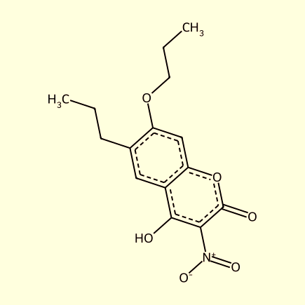 CCCOc1cc2oc(=O)c([N+](=O)[O-])c(O)c2cc1CCC